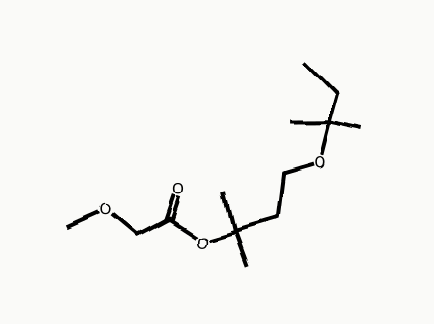 CCC(C)(C)OCCC(C)(C)OC(=O)COC